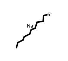 CCCCCCCCCC[S-].[Na+]